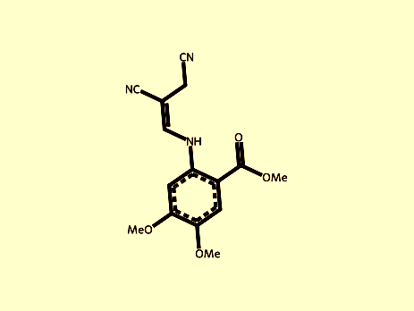 COC(=O)c1cc(OC)c(OC)cc1NC=C(C#N)CC#N